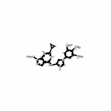 CCCCCn1ncc2c(Nc3cn(-c4cc(OC)c(OC)c(OC)c4)cn3)nc(C3CC3)nc21